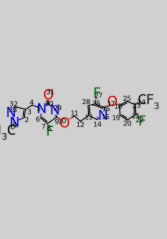 Cn1cc(Cn2cc(F)c(OCCc3cnc(Oc4ccc(F)c(C(F)(F)F)c4)c(F)c3)nc2=O)cn1